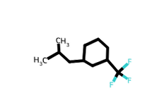 CC(C)CC1CCCC(C(F)(F)F)C1